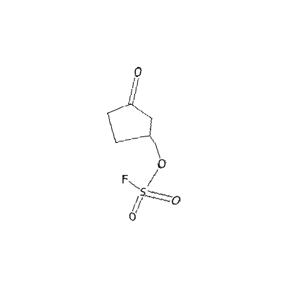 O=C1CCC(OS(=O)(=O)F)C1